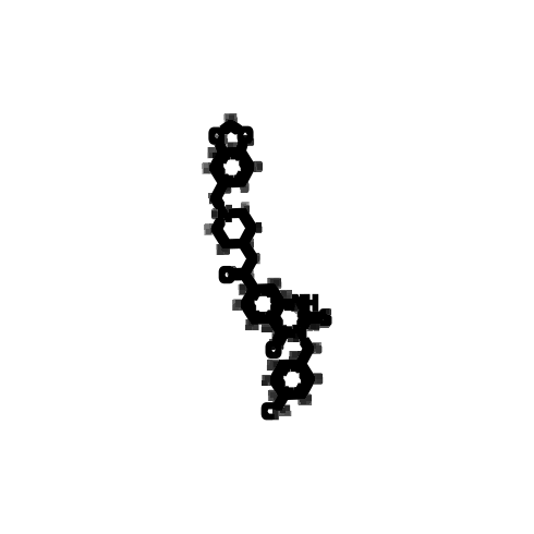 O=C(CC1CCN(Cc2ccc3c(c2)OCO3)CC1)c1ccc2c(=O)n(Cc3ccc(Cl)cc3)c(=S)[nH]c2c1